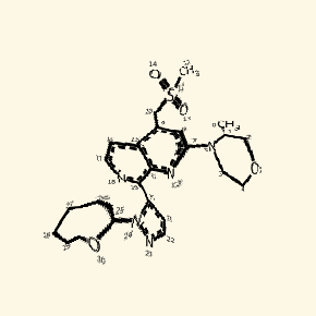 C[C@@H]1COCCN1c1cc(CS(C)(=O)=O)c2ccnc(-c3ccnn3C3CCCCO3)c2n1